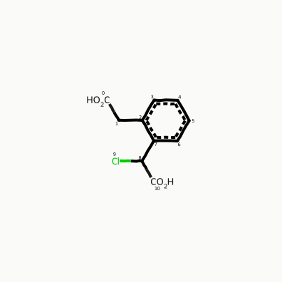 O=C(O)Cc1ccccc1C(Cl)C(=O)O